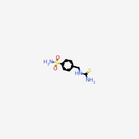 NC(=S)NCc1ccc(S(N)(=O)=O)cc1